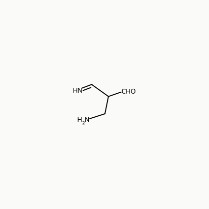 N=CC(C=O)CN